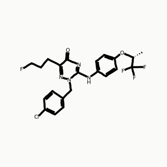 C[C@@H](Oc1ccc(Nc2nc(=O)c(CCCF)nn2Cc2ccc(Cl)cc2)cc1)C(F)(F)F